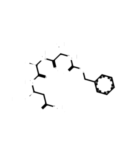 C[C@H](NC(=O)OCc1ccccc1)C(=O)N[C@H](C)C(=O)N[C@@H](CC(N)=O)C(=O)O